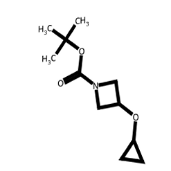 CC(C)(C)OC(=O)N1CC(OC2CC2)C1